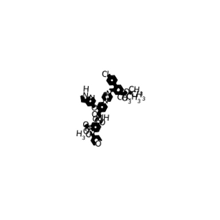 CN(c1ccc(S(=O)(=O)NC(=O)c2ccc(N3CCN(CC4=C(c5ccc(Cl)cc5)CCC(C)(C(=O)OC(C)(C)C)C4)CC3)cc2Oc2cnc3[nH]ccc3c2)cc1[N+](=O)[O-])C1CCOCC1